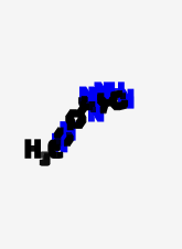 CN1CCN(c2ccc(-c3cnn4c(N)c(-c5ccncc5)cnc34)cc2)CC1